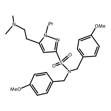 COc1ccc(CN(Cc2ccc(OC)cc2)S(=O)(=O)c2cc(CCN(C)C)n(C(C)C)n2)cc1